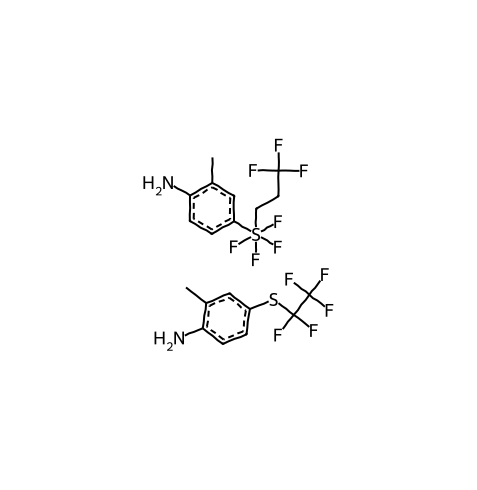 Cc1cc(S(F)(F)(F)(F)CCC(F)(F)F)ccc1N.Cc1cc(SC(F)(F)C(F)(F)F)ccc1N